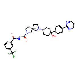 O=C(NCC(=O)N1CC[C@@]2(CCN(C3CCC(O)(c4ccc(-c5ncccn5)cc4)CC3)C2)C1)c1cccc(C(F)(F)F)c1